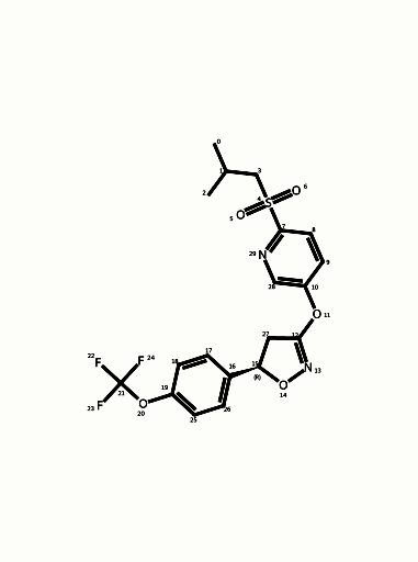 CC(C)CS(=O)(=O)c1ccc(OC2=NO[C@@H](c3ccc(OC(F)(F)F)cc3)C2)cn1